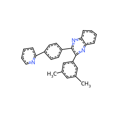 Cc1cc(C)cc(-c2nc3ccccc3nc2-c2ccc(-c3ccccn3)cc2)c1